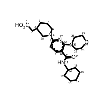 O=C(O)CC1CCCN(c2ccc(C(=O)NC3CCCCC3)c(N3CCOCC3)n2)C1